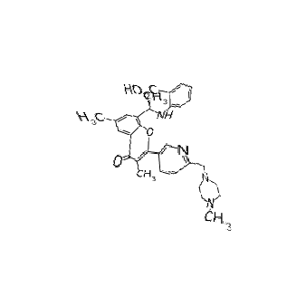 Cc1cc([C@@H](C)Nc2ccccc2C(=O)O)c2oc(-c3ccc(CN4CCN(C)CC4)nc3)c(C)c(=O)c2c1